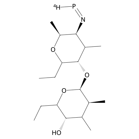 [4H]/P=N\[C@H]1C(C)[C@H](O[C@@H]2OC(CC)[C@@H](O)C(C)[C@@H]2C)C(CC)O[C@H]1C